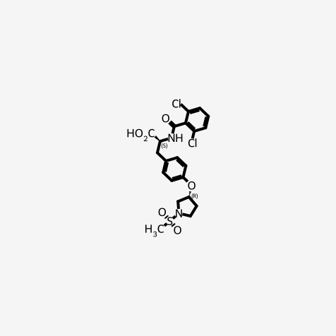 CS(=O)(=O)N1CC[C@@H](Oc2ccc(C[C@H](NC(=O)c3c(Cl)cccc3Cl)C(=O)O)cc2)C1